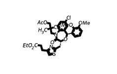 CCOC(=O)CCc1csc(C[C@H]2O[C@H](c3cccc(OC)c3OC)c3cc(Cl)ccc3N(CC(C)(C)COC(C)=O)C2=O)n1